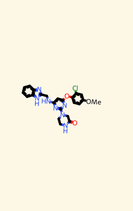 COc1ccc(Oc2cc(NCc3nc4ccccc4[nH]3)nc(N3CCNC(=O)C3)n2)c(Cl)c1